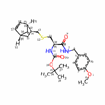 COc1ccc(CNC(=O)[C@H](CSC[C@H]2C[C@@H]3C=C[C@@H]2C3)NC(=O)OC(C)(C)C)cc1